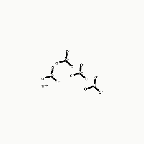 [O-][I+2]([O-])[O-].[O-][I+2]([O-])[O-].[O-][I+2]([O-])[O-].[O-][I+2]([O-])[O-].[Th+4]